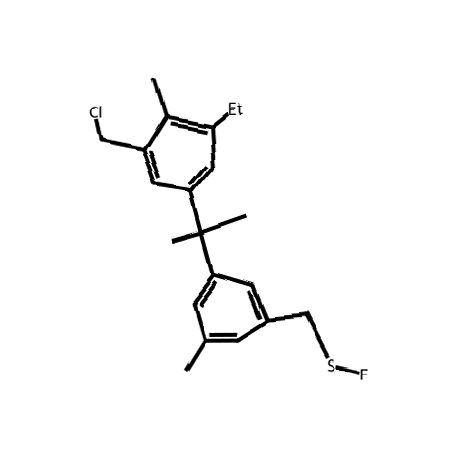 CCc1cc(C(C)(C)c2cc(C)cc(CSF)c2)cc(CCl)c1C